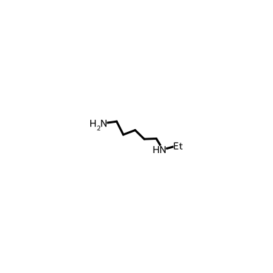 CCNCCCCCN